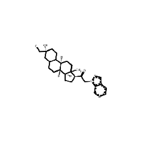 C[C@]12CC[C@@H]3C4CC[C@](O)(CF)CC4CC[C@H]3[C@@H]1CC[C@@H]2C(=O)Cn1ncc2ccncc21